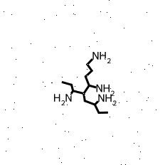 CCC(N)CC(C(N)CC)C(N)CCCN